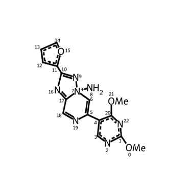 COc1ncc(C2=C[N+]3(N)N=C(c4ccco4)N=C3C=N2)c(OC)n1